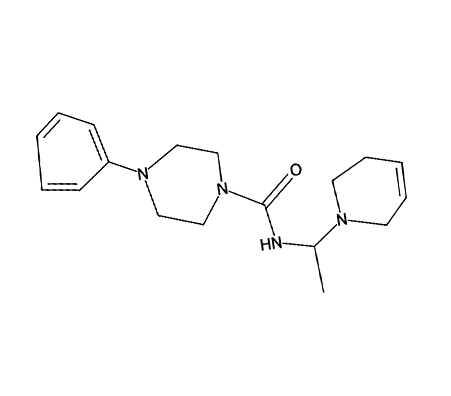 CC(NC(=O)N1CCN(c2ccccc2)CC1)N1CC=CCC1